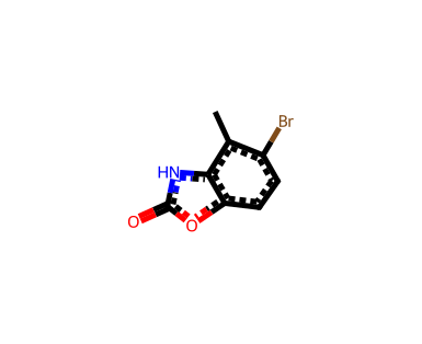 Cc1c(Br)ccc2oc(=O)[nH]c12